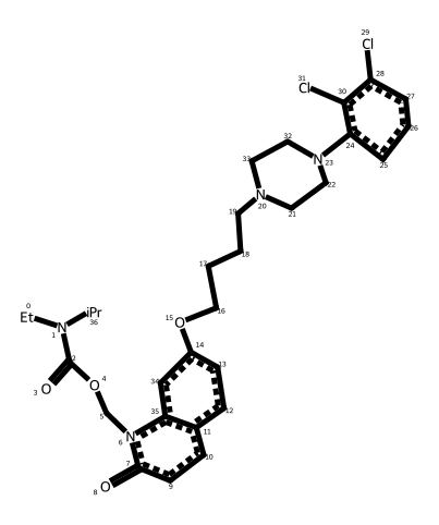 CCN(C(=O)OCn1c(=O)ccc2ccc(OCCCCN3CCN(c4cccc(Cl)c4Cl)CC3)cc21)C(C)C